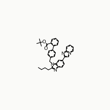 CCCCc1nc2ccc(-c3cn4ccccc4n3)cc2n1Cc1ccc(-c2ccccc2C(=O)OC(C)(C)C)cc1